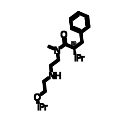 CC(C)OCCNCCN(C)C(=O)[C@@H](Cc1ccccc1)C(C)C